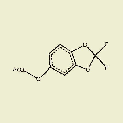 CC(=O)OOc1ccc2c(c1)OC(F)(F)O2